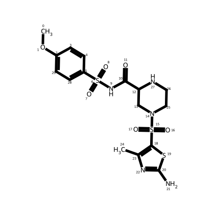 COc1ccc(S(=O)(=O)NC(=O)C2CN(S(=O)(=O)c3sc(N)nc3C)CCN2)cc1